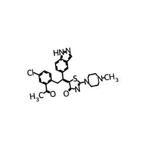 CC(=O)c1cc(Cl)ccc1CC(=C1SC(N2CCN(C)CC2)=NC1=O)c1ccc2[nH]ncc2c1